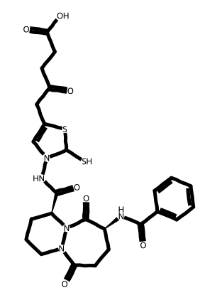 O=C(O)CCC(=O)CC1=CN(NC(=O)[C@@H]2CCCN3C(=O)CC[C@H](NC(=O)c4ccccc4)C(=O)N23)C(S)S1